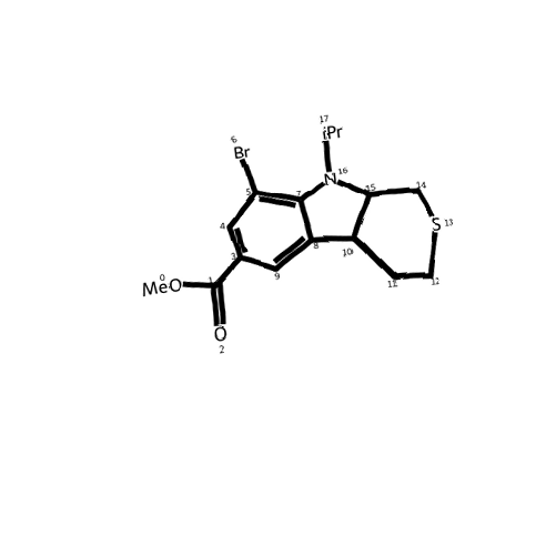 COC(=O)c1cc(Br)c2c(c1)C1CCSCC1N2C(C)C